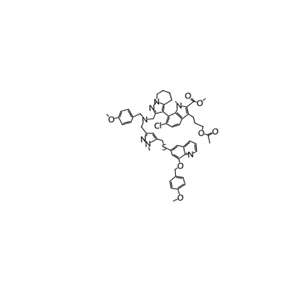 COC(=O)c1c(CCCOC(C)=O)c2ccc(Cl)c(-c3c(CN(Cc4ccc(OC)cc4)Cc4cc(CSc5cc(OCc6ccc(OC)cc6)c6ncccc6c5)n(C)n4)nn4c3CCCC4)c2n1C